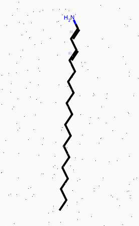 CCCCCCCCCCCCCC/C=C/C=C/N